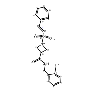 O=C(NCc1ccccc1F)C1CN(S(=O)(=O)/C=C/c2ccccc2)C1